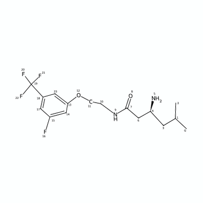 CC(C)C[C@H](N)CC(=O)NCCOc1cc(F)cc(C(F)(F)F)c1